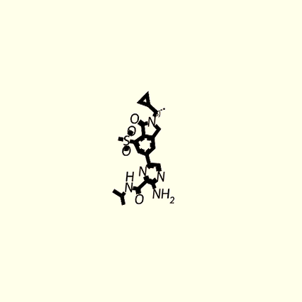 CC(C)NC(=O)c1nc(-c2cc3c(c(S(C)(=O)=O)c2)C(=O)N([C@@H](C)C2CC2)C3)cnc1N